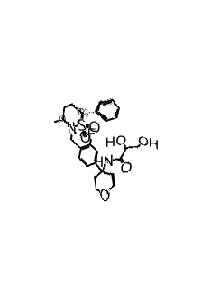 C[C@H]1CC[C@H](c2ccccc2)S(=O)(=O)N1Cc1ccc(C2(NC(=O)C(O)CO)CCOCC2)cc1F